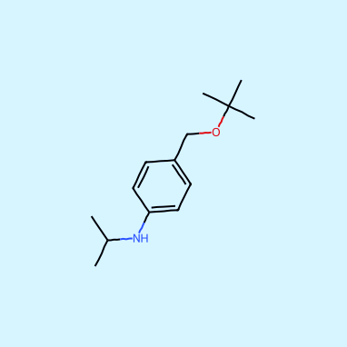 CC(C)Nc1ccc(COC(C)(C)C)cc1